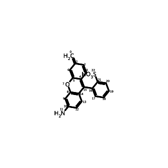 C=c1ccc2c(c1)Oc1cc(N)ccc1C=2c1ccccc1S(=O)(=O)O